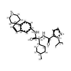 CC(C)n1nccc1C(=O)N[C@H](C(=O)Nc1ccc2c(c1)C=CC21CCOCC1)[C@H]1CC[C@H](C)CC1